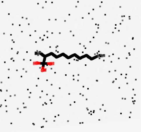 CCCCCCCCCCCCCCCCCC(C)C(O)(O)O